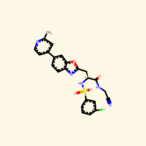 Cc1cc(-c2ccc3nc(C[C@H](NS(=O)(=O)c4cccc(Cl)c4)C(=O)NCC#N)oc3c2)ccn1